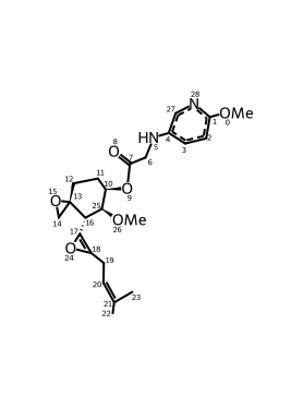 COc1ccc(NCC(=O)O[C@@H]2CC[C@]3(CO3)[C@@H](C3=C(CC=C(C)C)O3)[C@@H]2OC)cn1